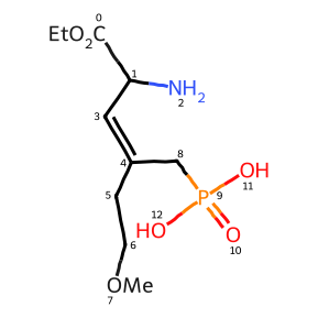 CCOC(=O)C(N)C=C(CCOC)CP(=O)(O)O